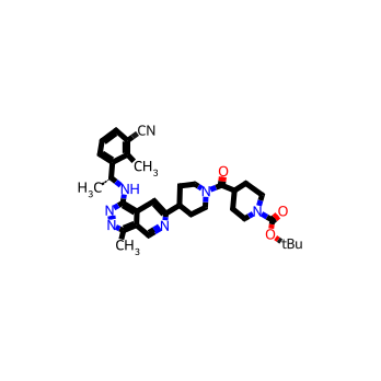 Cc1c(C#N)cccc1[C@@H](C)Nc1nnc(C)c2cnc(C3CCN(C(=O)C4CCN(C(=O)OC(C)(C)C)CC4)CC3)cc12